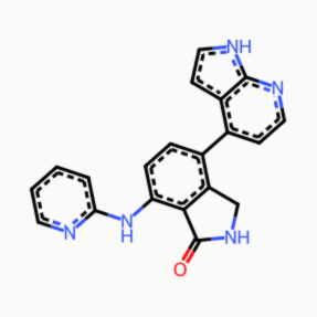 O=C1NCc2c(-c3ccnc4[nH]ccc34)ccc(Nc3ccccn3)c21